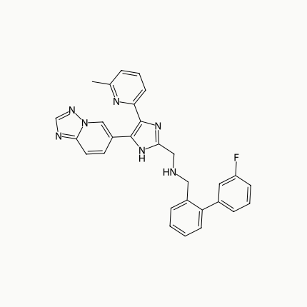 Cc1cccc(-c2nc(CNCc3ccccc3-c3cccc(F)c3)[nH]c2-c2ccc3ncnn3c2)n1